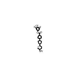 CCCC1CCC(C2CCC(c3ccc(C(=O)Oc4cc(F)c(C(F)(F)F)c(F)c4)cc3)CC2)CC1